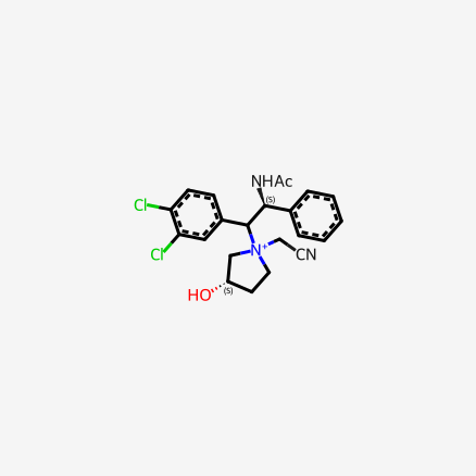 CC(=O)N[C@@H](c1ccccc1)C(c1ccc(Cl)c(Cl)c1)[N+]1(CC#N)CC[C@H](O)C1